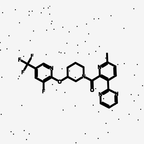 Cc1ccc(-c2ncccn2)c(C(=O)N2CCCC(Oc3ncc(C(F)(F)F)cc3F)C2)n1